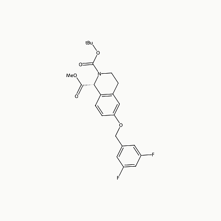 COC(=O)[C@H]1c2ccc(OCc3cc(F)cc(F)c3)cc2CCN1C(=O)OC(C)(C)C